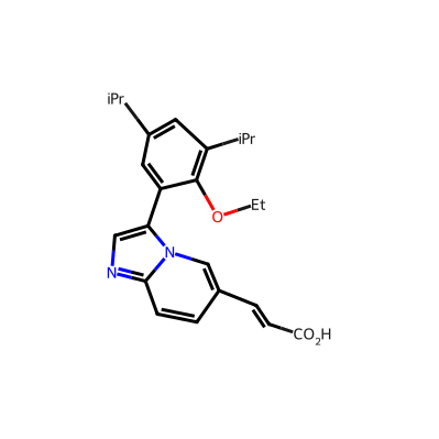 CCOc1c(-c2cnc3ccc(C=CC(=O)O)cn23)cc(C(C)C)cc1C(C)C